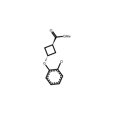 COC(=O)[C@H]1C[C@H](Oc2ccccc2Cl)C1